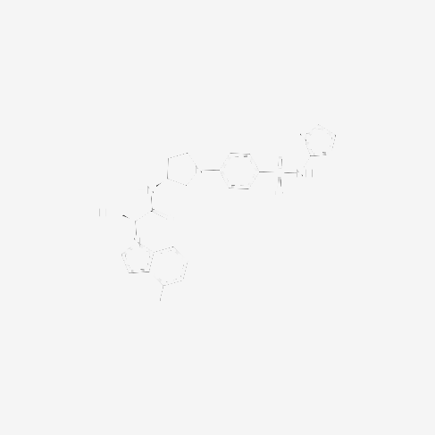 C[C@@H](C(=O)N[C@H]1CCN(c2ccc(S(=O)(=O)Nc3nccs3)cc2)C1)n1ccc2c(F)cccc21